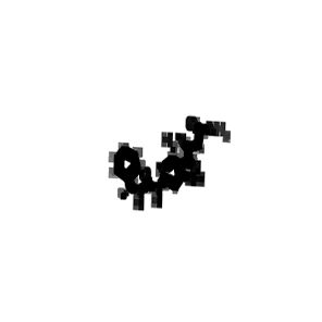 C[C@@H](NC(=O)Nc1cc2[nH]nc(C(N)CC(N)=O)c2cn1)c1ccccc1